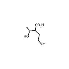 CC(C)CCC(C(=O)O)[C@H](C)O